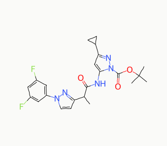 CC(C(=O)Nc1cc(C2CC2)nn1C(=O)OC(C)(C)C)c1ccn(-c2cc(F)cc(F)c2)n1